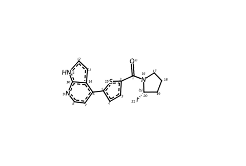 O=C(c1ccc(-c2ccnc3[nH]ccc23)s1)N1CCC[C@@H]1I